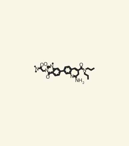 CCCN(CCC)C(=O)C1=Cc2ccc(-c3ccc4c(=O)n(CC(=O)N(C)C)c(=O)n(C)c4c3)cc2N=C(N)C1